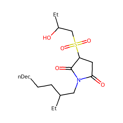 CCCCCCCCCCCCC(CC)CN1C(=O)CC(S(=O)(=O)CC(O)CC)C1=O